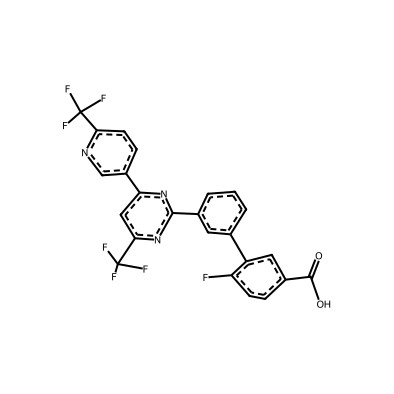 O=C(O)c1ccc(F)c(-c2cccc(-c3nc(-c4ccc(C(F)(F)F)nc4)cc(C(F)(F)F)n3)c2)c1